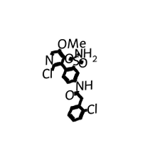 COc1cnc(Cl)c(-c2ccc(NC(=O)Cc3ccccc3Cl)cc2S(N)(=O)=O)c1